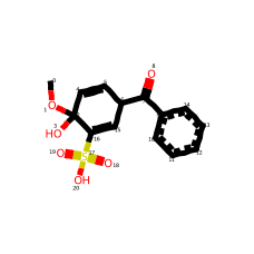 COC1(O)C=CC(C(=O)c2ccccc2)C=C1S(=O)(=O)O